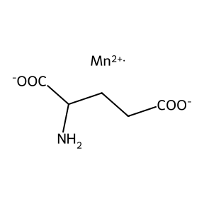 NC(CCC(=O)[O-])C(=O)[O-].[Mn+2]